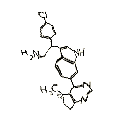 C[C@@H]1CCc2ncnc(-c3ccc4c(C(CN)c5ccc(Cl)cc5)c[nH]c4c3)c21